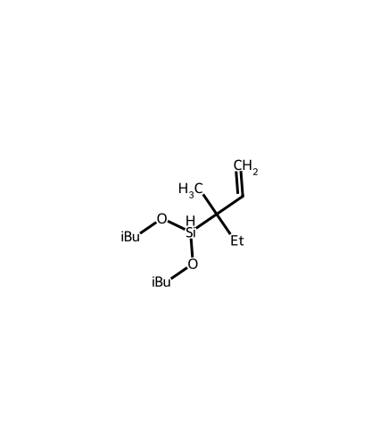 C=CC(C)(CC)[SiH](OC(C)CC)OC(C)CC